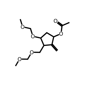 C=C1C(OC(C)=O)CC(OCOC)C1COCOC